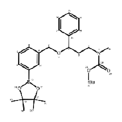 CN(CCC(OCc1cccc(B2OC(C)(C)C(C)(C)O2)c1)c1ccccc1)C(=O)OC(C)(C)C